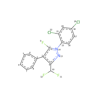 Fc1c(-c2ccccc2)c(C(F)F)nn1-c1ccc(Cl)cc1Cl